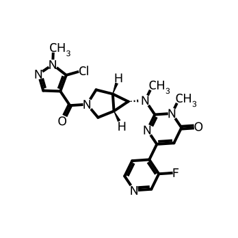 CN(c1nc(-c2ccncc2F)cc(=O)n1C)[C@@H]1[C@@H]2CN(C(=O)c3cnn(C)c3Cl)C[C@@H]21